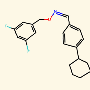 Fc1cc(F)cc(CO/N=[C]\c2ccc(C3CCCCC3)cc2)c1